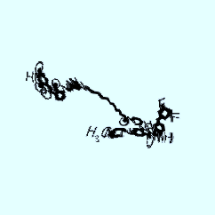 CN1CCN(c2ccc(C(=O)Nc3n[nH]c4ccc(Cc5cc(F)cc(F)c5)cc34)c(NC3CCCN(C(=O)CCCCCCCCCCCn4cc(CNc5cccc6c5C(=O)N(C5CCC(=O)NC5=O)C6=O)nn4)C3)c2)CC1